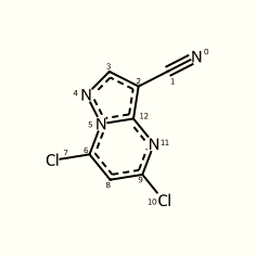 N#Cc1cnn2c(Cl)cc(Cl)nc12